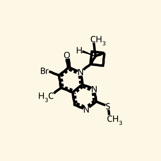 CSc1ncc2c(C)c(Br)c(=O)n(C34CC(C3)[C@H]4C)c2n1